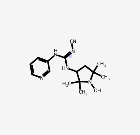 CC1(C)CC(N/C(=N/C#N)Nc2cccnc2)C(C)(C)N1O